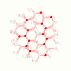 BBB(B)B(B(B)B)B(B(B(B)B)B(B)B)B(B(B(B(B(B)B)B(B)B)B(B(B)B)B(B)B)B(B(B(B)B)B(B)B)B(B(B)B)B(B)B)B(B(B(B(B)B)B(B)B)B(B(B)B)B(B)B)B(B(B(B)B)B(B)B)B(B(B)B)B(B)B